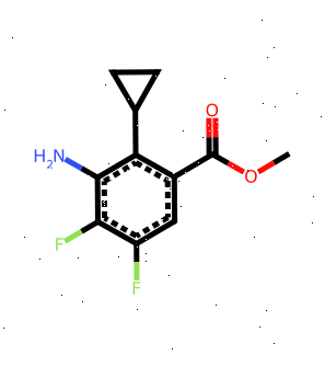 COC(=O)c1cc(F)c(F)c(N)c1C1CC1